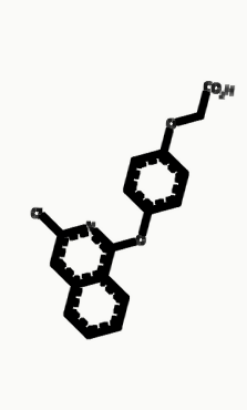 O=C(O)COc1ccc(Oc2nc(Cl)cc3ccccc23)cc1